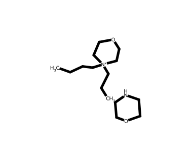 C1COCCN1.CCCC[N+]1(CCC)CCOCC1